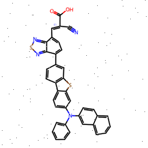 N#C/C(=C\c1ccc(-c2ccc3c(c2)sc2cc(N(c4ccccc4)c4ccc5ccccc5c4)ccc23)c2nsnc12)C(=O)O